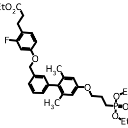 CCOC(=O)CCc1ccc(OCc2cccc(-c3c(C)cc(OCCCP(=O)(OCC)OCC)cc3C)c2)cc1F